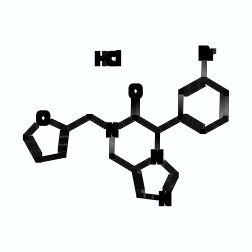 Cl.O=C1C(c2cccc(Br)c2)n2cncc2CN1Cc1ccco1